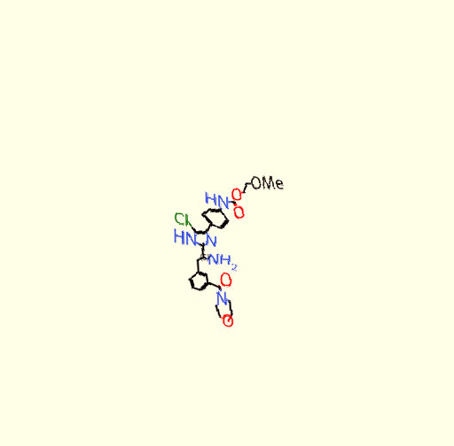 COCCOC(=O)Nc1ccc(-c2nc([C@@H](N)Cc3cccc(C(=O)N4CCOCC4)c3)[nH]c2Cl)cc1